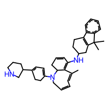 C/C1=C\C=C/CN(C2=CC=C(C3CCCNC3)CC2)C2CC=CC(NC3CCC4=C(C3)C(C)(C)c3ccccc34)=C12